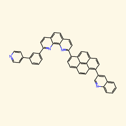 c1cc(-c2ccncc2)cc(-c2ccc3ccc4ccc(-c5ccc6ccc7c(-c8cnc9ccccc9c8)ccc8ccc5c6c87)nc4c3n2)c1